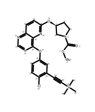 CC(C)(C)OC(=O)N1CC[C@H](Oc2ccc3ncnc(Oc4ccc(Cl)c(C#C[Si](C)(C)C)c4)c3n2)C1